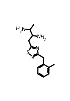 Cc1ccccc1Cc1nsc(CC(N)C(C)N)n1